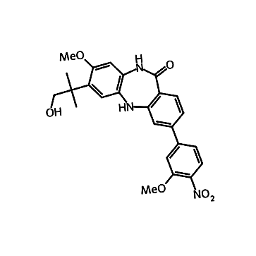 COc1cc(-c2ccc3c(c2)Nc2cc(C(C)(C)CO)c(OC)cc2NC3=O)ccc1[N+](=O)[O-]